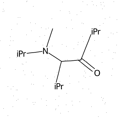 CC(C)C(=O)C(C(C)C)N(C)C(C)C